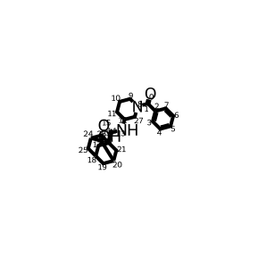 O=C(c1ccccc1)N1CCCC(NC(=O)C23CC4CC(C2)C(O)C(C4)C3)C1